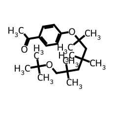 CC(=O)c1ccc(OC(C)(C)CC(C)(C)CC(C)(C)COC(C)(C)C)cc1